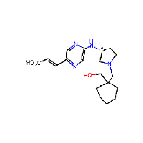 O=C(O)C=Cc1cnc(N[C@@H]2CCN(CC3(CO)CCCCC3)C2)cn1